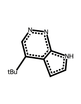 CC(C)(C)c1cnnc2[nH]ccc12